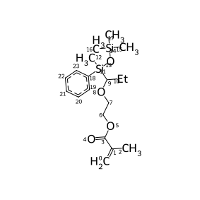 C=C(C)C(=O)OCCOC(CC)[Si](C)(O[Si](C)(C)C)c1ccccc1